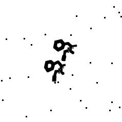 C#CCN(C)[C@H](C)Cc1ccccc1.C#CCN(C)[C@H](C)Cc1ccccc1